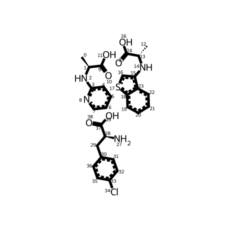 C[C@H](Nc1ccccn1)C(=O)O.C[C@H](Nc1csc2ccccc12)C(=O)O.N[C@@H](Cc1ccc(Cl)cc1)C(=O)O